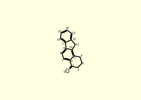 O=C1CCCc2c1ccc1c2Cc2ccccc2-1